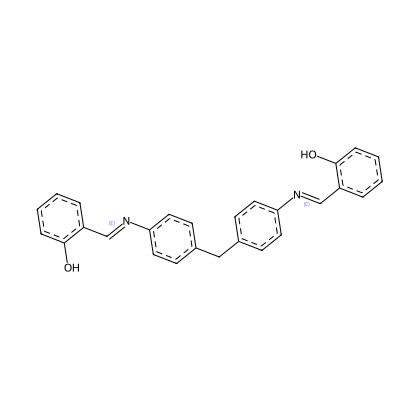 Oc1ccccc1/C=N/c1ccc(Cc2ccc(/N=C/c3ccccc3O)cc2)cc1